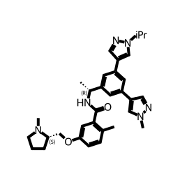 Cc1ccc(OC[C@@H]2CCCN2C)cc1C(=O)N[C@H](C)c1cc(-c2cnn(C)c2)cc(-c2cnn(C(C)C)c2)c1